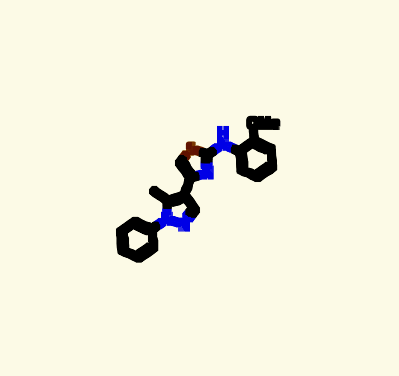 COc1ccccc1Nc1nc(-c2cnn(-c3ccccc3)c2C)cs1